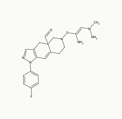 CN(N)/C=C(\N)SN1CCC2=Cc3c(cnn3-c3ccc(F)cc3)CC2(C=O)C1